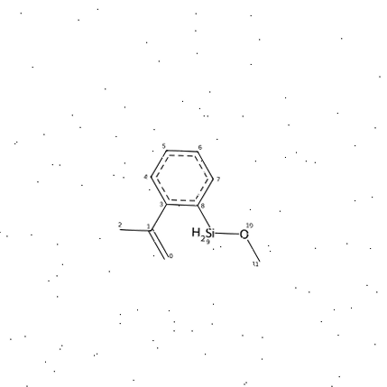 C=C(C)c1ccccc1[SiH2]OC